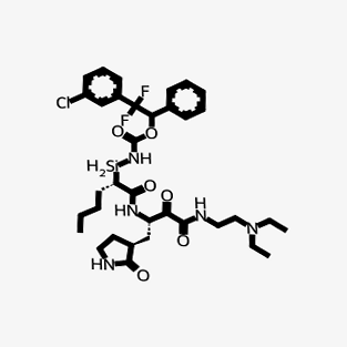 CCCC[C@H]([SiH2]NC(=O)OC(c1ccccc1)C(F)(F)c1cccc(Cl)c1)C(=O)N[C@@H](C[C@@H]1CCNC1=O)C(=O)C(=O)NCCN(CC)CC